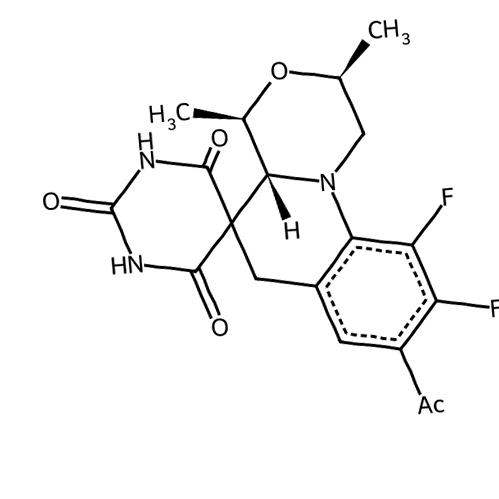 CC(=O)c1cc2c(c(F)c1F)N1C[C@H](C)O[C@H](C)[C@H]1C1(C2)C(=O)NC(=O)NC1=O